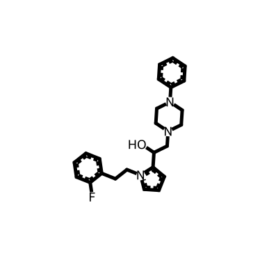 OC(CN1CCN(c2ccccc2)CC1)c1cccn1CCc1ccccc1F